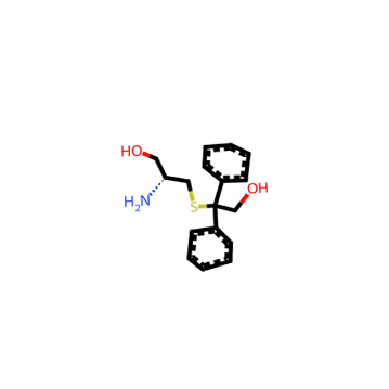 N[C@H](CO)CSC(CO)(c1ccccc1)c1ccccc1